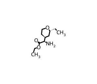 CCOC(=O)[C@H](N)[C@H]1CCO[C@H](CC)C1